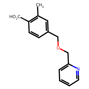 Cc1cc(COCc2ccccn2)ccc1C(=O)O